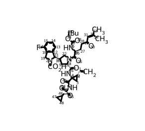 C=C[C@@H]1C[C@]1(NC(=O)[C@@H]1C[C@@H](C2c3cccc(F)c3CN2C(=O)O)CN1C(=O)[C@H](CCC(=O)C=C(C)C)NC(=O)OC(C)(C)C)C(=O)NS(=O)(=O)C1CC1